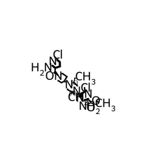 CC[C@H]1CN(c2nc(N)c(C(=O)OC)nc2Cl)[C@H](C)CN1C1CCN(C(=O)c2ccc(Cl)nc2N)CC1